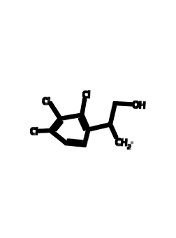 [CH2]C(CO)c1ccc(Cl)c(Cl)c1Cl